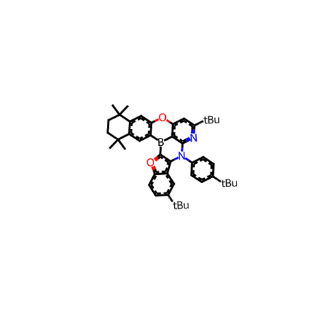 CC(C)(C)c1ccc(N2c3nc(C(C)(C)C)cc4c3B(c3cc5c(cc3O4)C(C)(C)CCC5(C)C)c3oc4ccc(C(C)(C)C)cc4c32)cc1